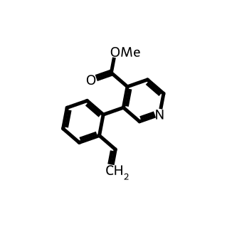 C=Cc1ccccc1-c1cnccc1C(=O)OC